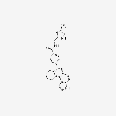 O=C(NCc1nc(C(F)(F)F)c[nH]1)c1ccc(-c2nc3ccc4[nH]ncc4c3c3c2CCCC3)cc1